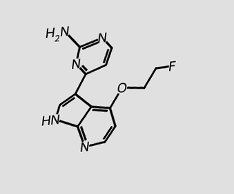 Nc1nccc(-c2c[nH]c3nccc(OCCF)c23)n1